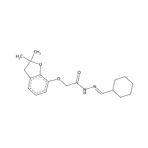 CC1(C)Cc2cccc(OCC(=O)NN=CC3CCCCC3)c2O1